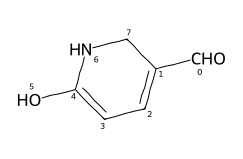 O=CC1=CC=C(O)NC1